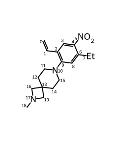 C=Cc1cc([N+](=O)[O-])c(CC)cc1N1CCC2(CC1)CN(C)C2